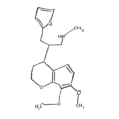 CNCC(Cc1cccs1)C1CCOc2c1ccc(OC)c2OC